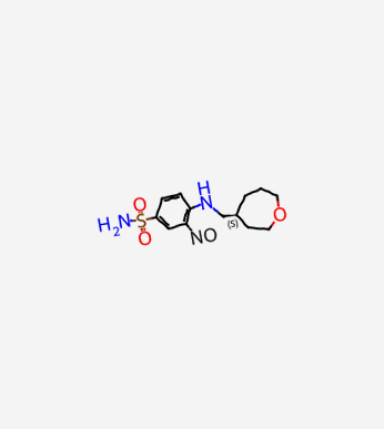 NS(=O)(=O)c1ccc(NC[C@H]2CCCOCC2)c(N=O)c1